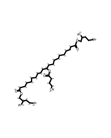 CC(C)CCC(COC(=O)CCCCCCCCCC(CCCCCCCCCC(=O)OCC(CCC(C)C)C(C)C)OC(=O)CCCC#N)C(C)C